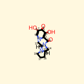 O=C1c2c(O)c(=O)c(O)cn2C[C@@H]2N1C[C@H]1CCCN12